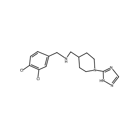 Clc1ccc(CNCC2CCN(c3ncn[nH]3)CC2)cc1Cl